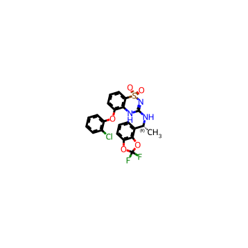 C[C@@H](NC1=NS(=O)(=O)c2cccc(Oc3ccccc3Cl)c2N1)c1cccc2c1OC(F)(F)O2